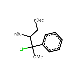 CCCCCCCCCCCC(CCCC)C(Cl)(OC)c1ccccc1